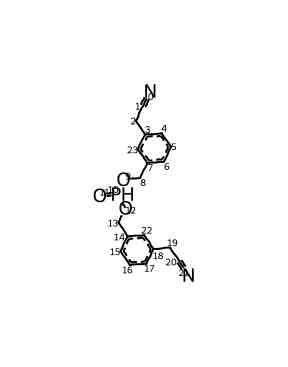 N#CCc1cccc(CO[PH](=O)OCc2cccc(CC#N)c2)c1